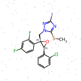 CSc1nc(I)nn1C[C@@]1(c2ccc(F)cc2F)O[C@H]1c1ccccc1Cl